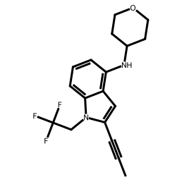 CC#Cc1cc2c(NC3CCOCC3)cccc2n1CC(F)(F)F